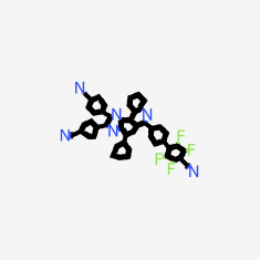 N#Cc1ccc(-c2nc3c(-c4ccccc4)cc4c(-c5ccc(-c6c(F)c(F)c(C#N)c(F)c6F)cc5)nc5ccccc5c4c3nc2-c2ccc(C#N)cc2)cc1